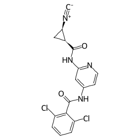 [C-]#[N+][C@@H]1C[C@@H]1C(=O)Nc1cc(NC(=O)c2c(Cl)cccc2Cl)ccn1